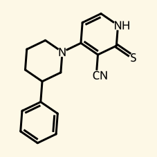 N#Cc1c(N2CCCC(c3ccccc3)C2)cc[nH]c1=S